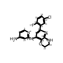 Nc1ccnc(Nc2cc(-c3cc(Cl)ccc3F)nc3c2OCCN3)c1